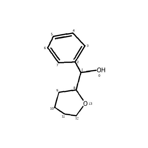 OC(c1ccccc1)C1CCCCO1